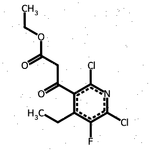 CCOC(=O)CC(=O)c1c(Cl)nc(Cl)c(F)c1CC